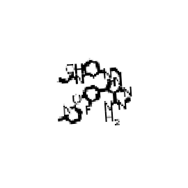 C=CC(=O)Nc1cccc(N2CCn3c2c(-c2ccc(Oc4cccc(C)n4)c(F)c2)c2c(N)ncnc23)c1